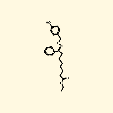 CCOC(=O)CCCCCCC(=NOCc1ccc(O)cc1)c1ccccc1